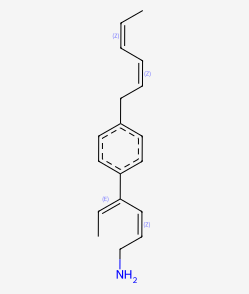 C/C=C\C=C/Cc1ccc(C(/C=C\CN)=C/C)cc1